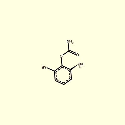 CC[C@H](C)c1cccc(C(C)C)c1OC(N)=O